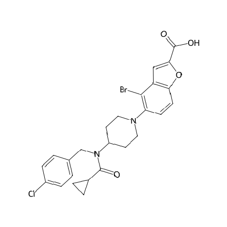 O=C(O)c1cc2c(Br)c(N3CCC(N(Cc4ccc(Cl)cc4)C(=O)C4CC4)CC3)ccc2o1